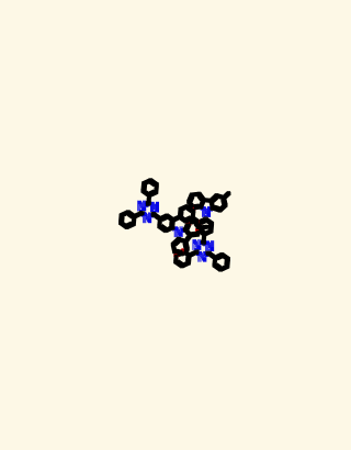 Cc1ccc2c(c1)c1ccccc1n2-c1ccc(-c2nc(-c3ccccc3)nc(-c3ccccc3)n2)cc1-c1cccc(-c2cc(-c3nc(-c4ccccc4)nc(-c4ccccc4)n3)ccc2-n2c3ccccc3c3cc(C)ccc32)c1